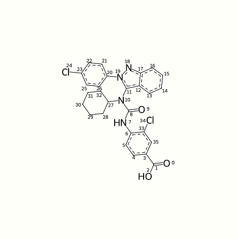 O=C(O)c1ccc(NC(=O)N(c2c3ccccc3nn2-c2ccc(Cl)cc2)C2CCCCC2)c(Cl)c1